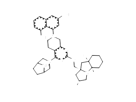 Cc1cccc2cc(O)cc(N3CCc4c(nc(OC[C@]56C[C@H](F)CN5[C@H]5CCCC[C@H]5C6)nc4N4CC5CCC(C4)N5)C3)c12